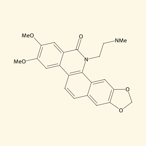 CNCCn1c(=O)c2cc(OC)c(OC)cc2c2ccc3cc4c(cc3c21)OCO4